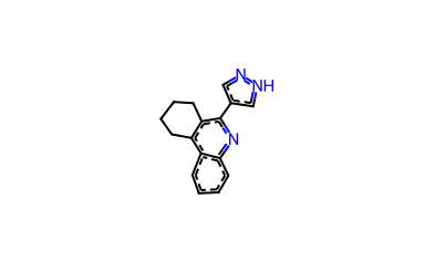 c1ccc2c3c(c(-c4cn[nH]c4)nc2c1)CCCC3